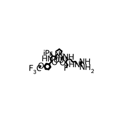 CC(C)C(NC(=O)c1cccc(OC(F)(F)F)c1)C(=O)N1CCC[C@H]1C(=O)N[C@@H](CCCNC(=N)N)C(=O)CF